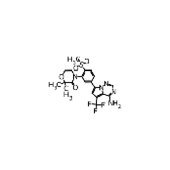 CC1(C)OCCN(c2cc(-c3cc(C(F)(F)F)c4c(N)ncnn34)ccc2S(C)(=O)=O)C1=O